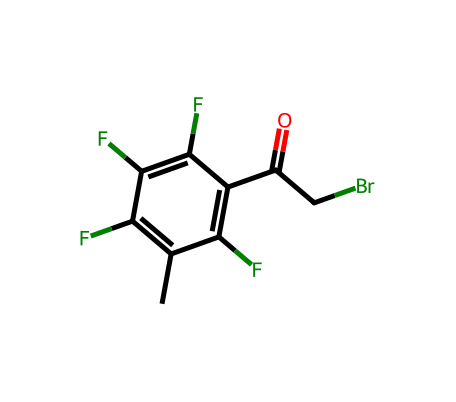 Cc1c(F)c(F)c(F)c(C(=O)CBr)c1F